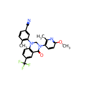 COc1ccc(N2CN(c3cc(C#N)ccc3C)c3ccc(C(F)(F)F)cc3C2=O)c(C)n1